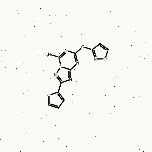 Nc1nc(Oc2ccon2)nc2nc(-c3ccco3)nn12